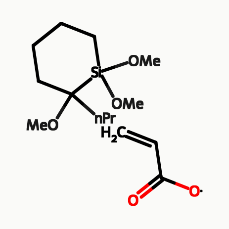 C=CC([O])=O.CCCC1(OC)CCCC[Si]1(OC)OC